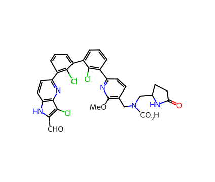 COc1nc(-c2cccc(-c3cccc(-c4ccc5[nH]c(C=O)c(Cl)c5n4)c3Cl)c2Cl)ccc1CN(CC1CCC(=O)N1)C(=O)O